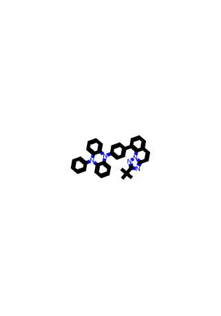 CC(C)(C)c1nc2ccc3cccc(-c4ccc(N5c6ccccc6N(c6ccccc6)c6ccccc65)cc4)c3n2n1